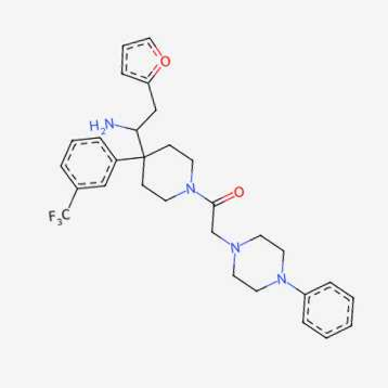 NC(Cc1ccco1)C1(c2cccc(C(F)(F)F)c2)CCN(C(=O)CN2CCN(c3ccccc3)CC2)CC1